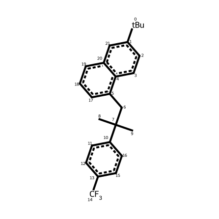 CC(C)(C)c1ccc2c(CC(C)(C)c3ccc(C(F)(F)F)cc3)cccc2c1